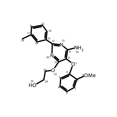 COc1ccccc1Oc1c(N)nc(-c2cccc(C)c2)nc1OCCO